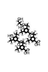 CC(C)(C)c1cc(C(=O)Oc2c(C(C)(C)C)cc(C(=O)O)cc2C(C)(C)C)cc(C(C)(C)C)c1O.CC(C)(C)c1cc(C(=O)Oc2c(C(C)(C)C)cc(C(=O)O)cc2C(C)(C)C)cc(C(C)(C)C)c1O.CC(C)(CO)CO